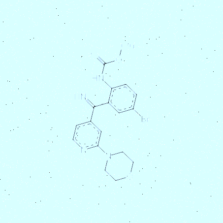 CC(C)(C)OC(=O)Nc1ccc(Br)cc1C(=N)c1ccnc(N2CCOCC2)c1